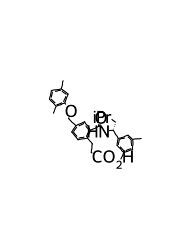 Cc1cc(C)cc([C@@H](CC(C)C)NC(=O)c2cc(COc3cc(C)ccc3C)ccc2CCC(=O)O)c1